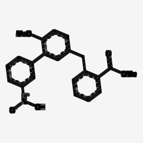 COC(=O)c1ccccc1Cc1ccc(OC)c(-c2cccc([NH+]([O-])O)c2)c1